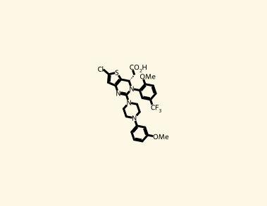 COc1cccc(N2CCN(C3=Nc4cc(Cl)sc4[C@H](CC(=O)O)N3c3cc(C(F)(F)F)ccc3OC)CC2)c1